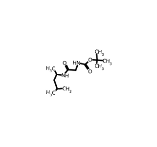 CC(C)CC(C)NC(=O)CNC(=O)OC(C)(C)C